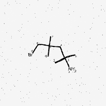 CC(C)(N)CC(C)(C)CBr